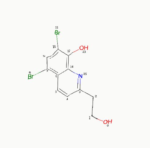 OCCc1ccc2c(Br)cc(Br)c(O)c2n1